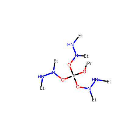 CCNN(CC)[O][Ti]([O]C(C)C)([O]N(CC)NCC)[O]N(CC)NCC